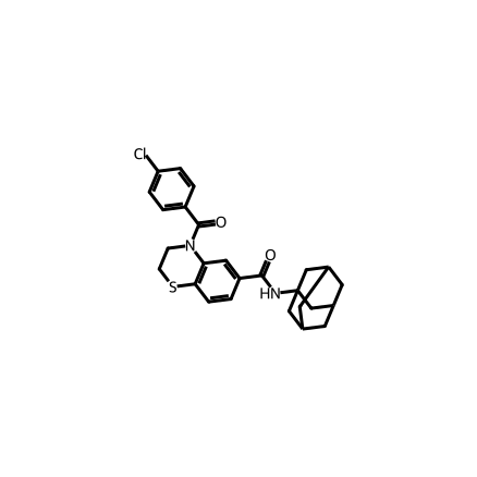 O=C(NC12CC3CC(CC(C3)C1)C2)c1ccc2c(c1)N(C(=O)c1ccc(Cl)cc1)CCS2